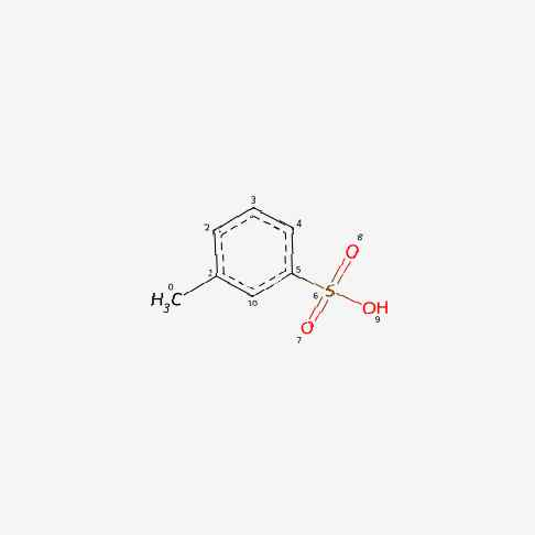 Cc1[c]ccc(S(=O)(=O)O)c1